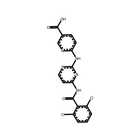 O=C(O)c1ccc(Nc2nccc(NC(=O)c3c(Cl)cccc3Cl)n2)nc1